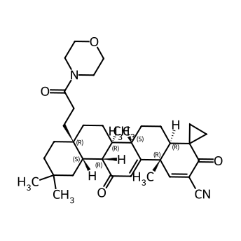 CC1(C)CC[C@]2(CCC(=O)N3CCOCC3)CC[C@]3(C)[C@H](C(=O)C=C4[C@@]5(C)C=C(C#N)C(=O)C6(CC6)[C@@H]5CC[C@]43C)[C@@H]2C1